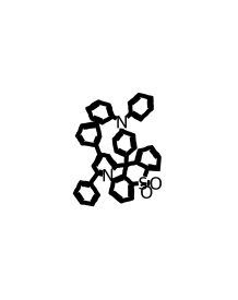 O=S1(=O)c2ccccc2C(c2ccc(N(c3ccccc3)c3ccccc3)cc2)(c2cc(-c3ccccc3)cc(-c3ccccc3)n2)c2ccccc21